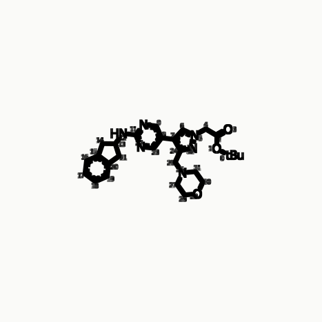 CC(C)(C)OC(=O)Cn1cc(-c2cnc(NC3Cc4ccccc4C3)nc2)c(CN2CCOCC2)n1